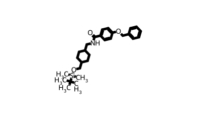 CC(C)(C)[Si](C)(C)OCC1CCC(CNC(=O)c2ccc(OCc3ccccc3)cc2)CC1